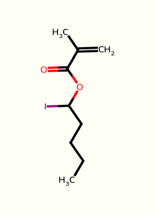 C=C(C)C(=O)OC(I)CCCC